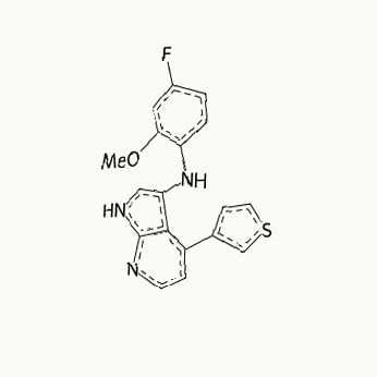 COc1cc(F)ccc1Nc1c[nH]c2nccc(-c3ccsc3)c12